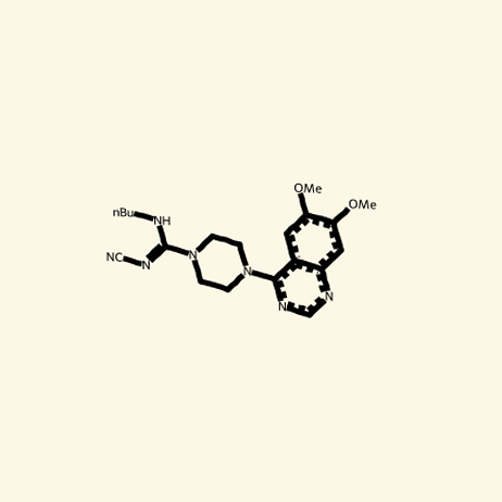 CCCCNC(=NC#N)N1CCN(c2ncnc3cc(OC)c(OC)cc23)CC1